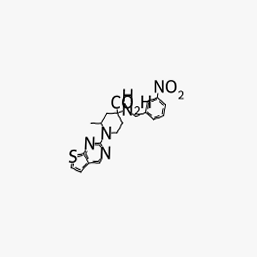 CC1CC(NCc2cccc([N+](=O)[O-])c2)(C(=O)O)CCN1c1ncc2ccsc2n1